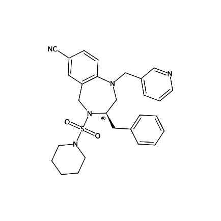 N#Cc1ccc2c(c1)CN(S(=O)(=O)N1CCCCC1)[C@H](Cc1ccccc1)CN2Cc1cccnc1